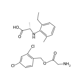 CCc1cccc(C)c1N[C@@H](C)C(=O)O.NCC(=O)OCc1ccc(Cl)cc1Cl